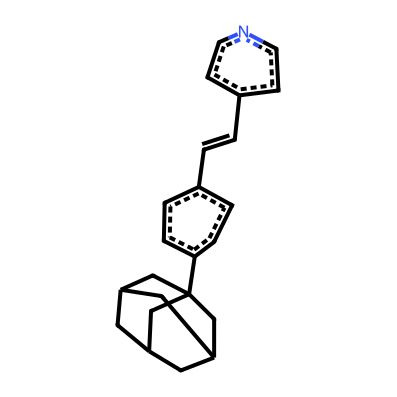 C(=Cc1ccc(C23CC4CC(CC(C4)C2)C3)cc1)c1ccncc1